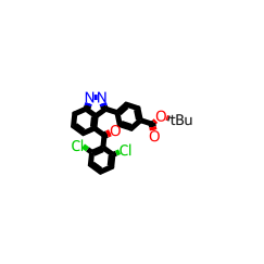 CC(C)(C)OC(=O)c1ccc(C2=NN=C3CC=CC(C(=O)c4c(Cl)cccc4Cl)=C32)cc1